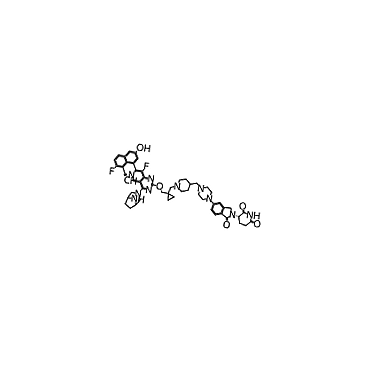 C#Cc1c(F)ccc2cc(O)cc(-c3ncc4c(N5CC6CCC(C5)N6)nc(OCC5(CN6CCC(CN7CCN(c8ccc9c(c8)CN([C@H]8CCC(=O)NC8=O)C9=O)CC7)CC6)CC5)nc4c3F)c12